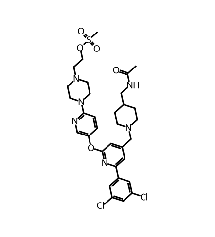 CC(=O)NCC1CCN(Cc2cc(Oc3ccc(N4CCN(CCOS(C)(=O)=O)CC4)nc3)nc(-c3cc(Cl)cc(Cl)c3)c2)CC1